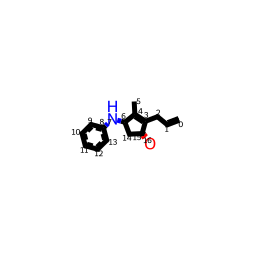 C=CCC1=C(C)C(Nc2ccccc2)CC1=O